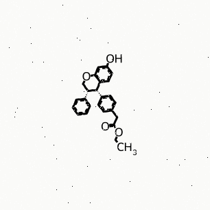 CCOC(=O)Cc1ccc([C@H]2c3ccc(O)cc3OC[C@H]2c2ccccc2)cc1